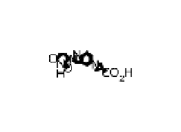 O=C1CCC(n2cc3cc(N4CC(C(=O)O)C4)ccc3n2)C(=O)N1